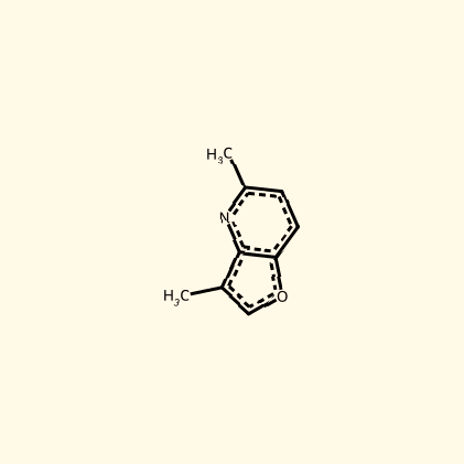 Cc1ccc2occ(C)c2n1